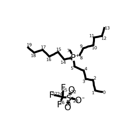 CCCCCC[P+](C)(CCCCCC)CCCCCC.O=S(=O)([O-])C(F)(F)F